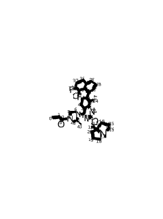 C=CC(=O)N1CCN(c2nc(OCC34CCCN3CCC4)nc3c(F)c(-c4cccc5ccc(F)c(Cl)c45)c(F)cc23)[C@@H](C)C1